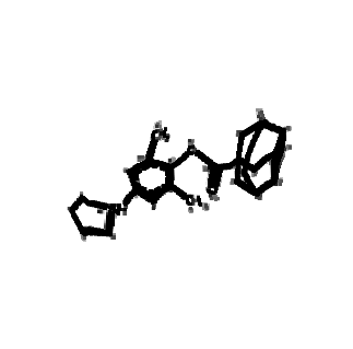 Cc1cc([SH]2CCCC2)cc(C)c1OC(=O)C12CC3CC(CC(C3)C1)C2